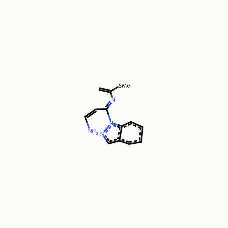 C=C(/N=C(\C=C/N)n1ncc2ccccc21)SC